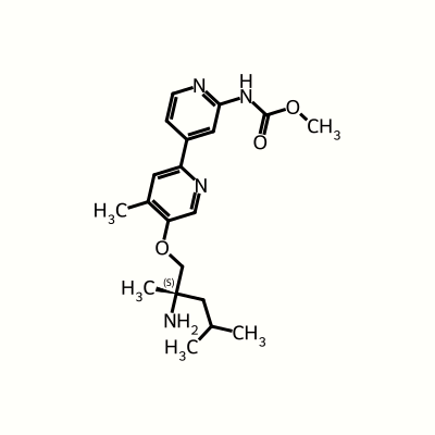 COC(=O)Nc1cc(-c2cc(C)c(OC[C@@](C)(N)CC(C)C)cn2)ccn1